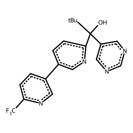 CC(C)(C)C(O)(c1cncnc1)c1ccc(-c2ccc(C(F)(F)F)nc2)cn1